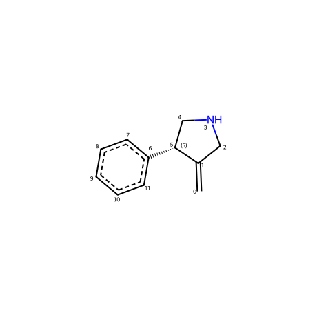 C=C1CNC[C@H]1c1ccccc1